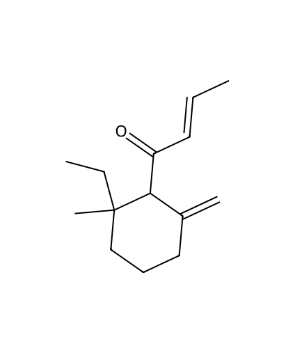 C=C1CCCC(C)(CC)C1C(=O)C=CC